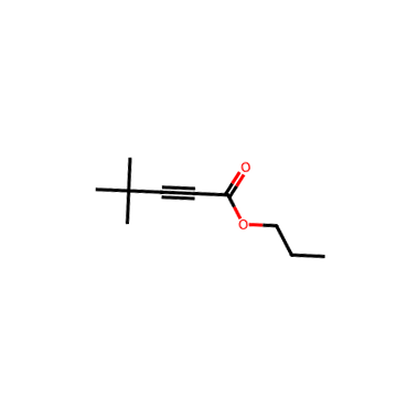 CCCOC(=O)C#CC(C)(C)C